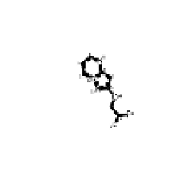 FC(F)COc1cc2ncccn2n1